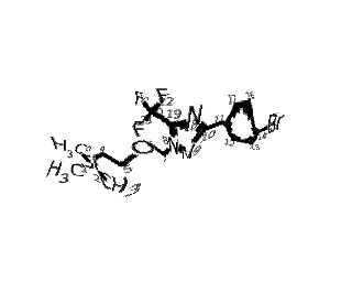 C[Si](C)(C)CCOCn1nc(-c2ccc(Br)cc2)nc1C(F)(F)F